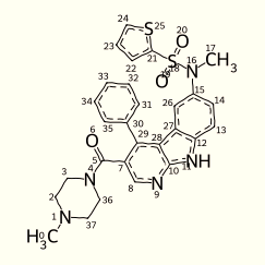 CN1CCN(C(=O)c2cnc3[nH]c4ccc(N(C)S(=O)(=O)c5cccs5)cc4c3c2-c2ccccc2)CC1